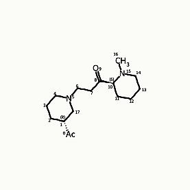 CC(=O)[C@@H]1CCCN(CCC(=O)[C@@H]2CCCCN2C)C1